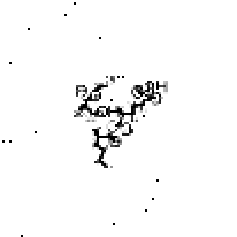 C=C(CCCC)C(=O)OC(=O)C(=C)CCCS(=O)(=O)O.C=C(CO)C(=O)OCC